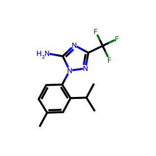 Cc1ccc(-n2nc(C(F)(F)F)nc2N)c(C(C)C)c1